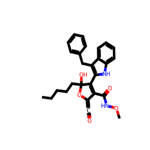 CCCCCC1(O)OC(=C=O)C(C(=O)NOC)=C1c1[nH]c2ccccc2c1Cc1ccccc1